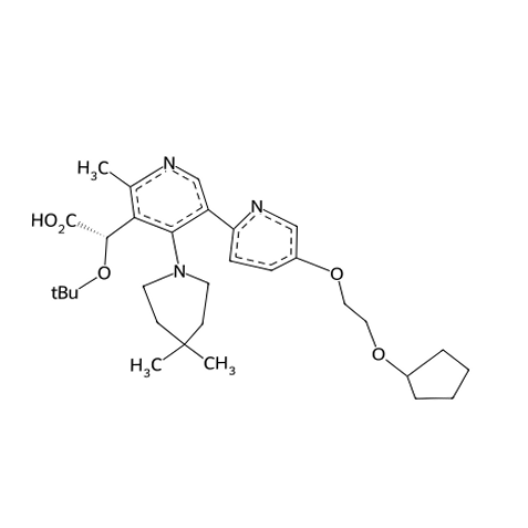 Cc1ncc(-c2ccc(OCCOC3CCCC3)cn2)c(N2CCC(C)(C)CC2)c1[C@H](OC(C)(C)C)C(=O)O